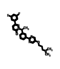 C[C@@H](c1cccc(-c2ncc(OCCCN(C)C)cn2)c1)n1nc(-c2cc(F)cc(F)c2)ccc1=O